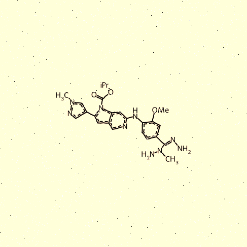 COc1cc(/C(=N/N)N(C)N)ccc1Nc1cc2c(cn1)cc(-c1cnn(C)c1)n2C(=O)OC(C)C